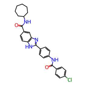 O=C(Nc1ccc(-c2nc3cc(C(=O)NC4CCCCCC4)ccc3[nH]2)cc1)c1ccc(Cl)cc1